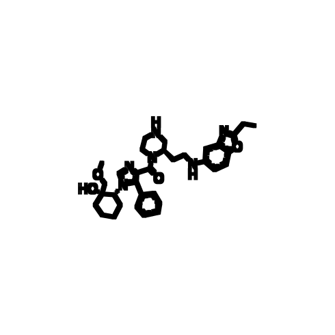 CCc1nc2cc(NCC[C@@H]3CNCCN3C(=O)c3ncn([C@@H]4CCCC[C@@]4(O)COC)c3-c3ccccc3)ccc2o1